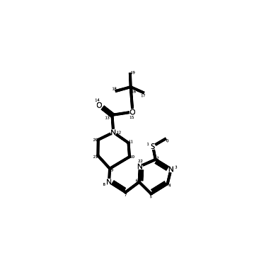 CSc1nccc(/C=N\C2CCN(C(=O)OC(C)(C)C)CC2)n1